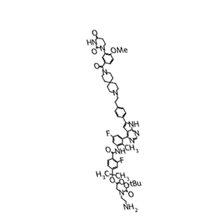 COc1ccc(C(=O)N2CCC3(CCN(CCc4ccc(-c5cc6c(-c7cc(F)cc(NC(=O)c8ccc(C(C)(C)OC(=O)CN(CCN)C(=O)OC(C)(C)C)cc8F)c7C)ncnc6[nH]5)cc4)CC3)CC2)cc1N1CCC(=O)NC1=O